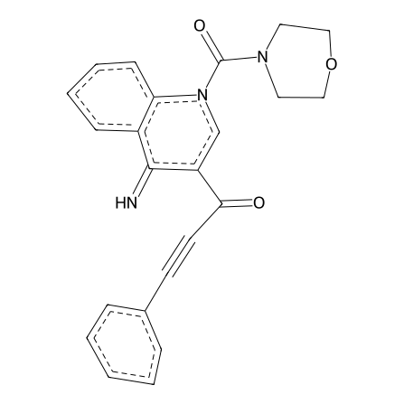 N=c1c(C(=O)C#Cc2ccccc2)cn(C(=O)N2CCOCC2)c2ccccc12